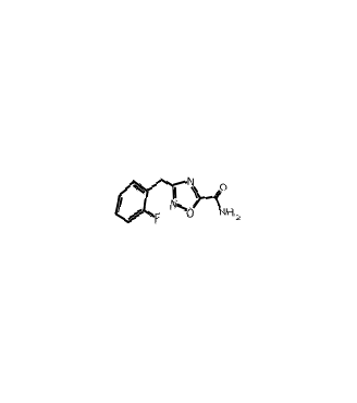 NC(=O)c1nc(Cc2ccccc2F)no1